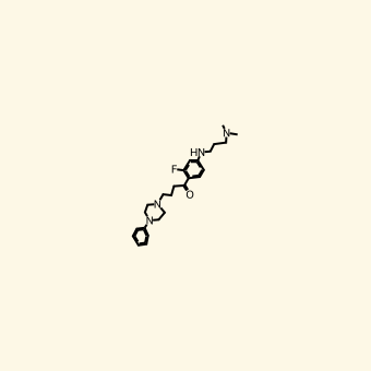 CN(C)CCCNc1ccc(C(=O)CCCN2CCN(c3ccccc3)CC2)c(F)c1